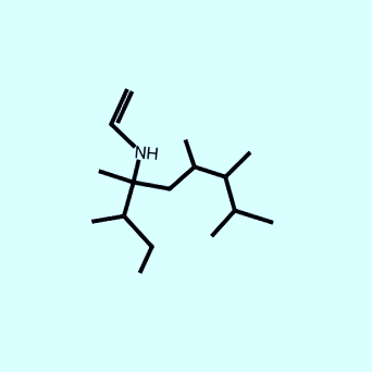 C=CNC(C)(CC(C)C(C)C(C)C)C(C)CC